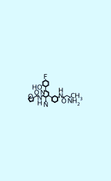 CC(N)CC(=O)Nc1cccc(-c2cc(-c3ccc(F)cc3O)nc(NC(=O)c3ccco3)c2C#N)c1